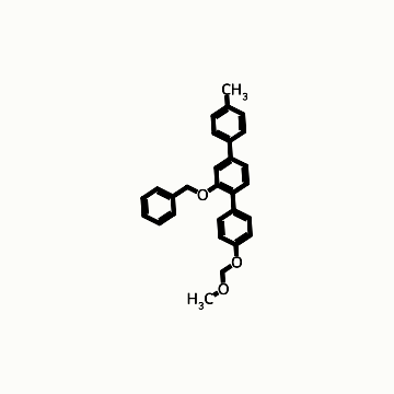 COCOc1ccc(-c2ccc(-c3ccc(C)cc3)cc2OCc2ccccc2)cc1